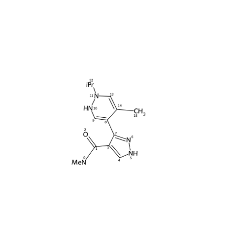 CNC(=O)c1c[nH]nc1C1=CNN(C(C)C)C=C1C